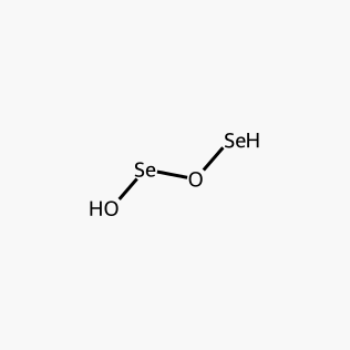 O[Se]O[SeH]